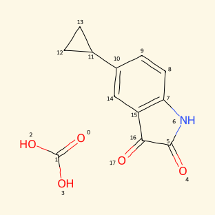 O=C(O)O.O=C1Nc2ccc(C3CC3)cc2C1=O